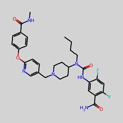 CCCCN(C(=O)Nc1cc(C(N)=O)c(F)cc1F)C1CCN(Cc2ccc(Oc3ccc(C(=O)NC)cc3)nc2)CC1